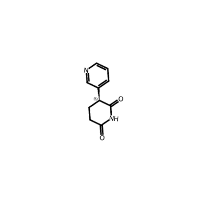 O=C1CC[C@@H](c2cccnc2)C(=O)N1